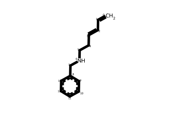 C=CC=CCCNCc1ccccc1